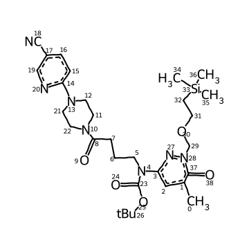 Cc1cc(N(CCCC(=O)N2CCN(c3ccc(C#N)cn3)CC2)C(=O)OC(C)(C)C)nn(COCC[Si](C)(C)C)c1=O